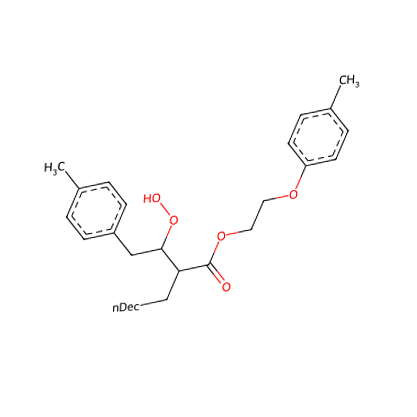 CCCCCCCCCCCC(C(=O)OCCOc1ccc(C)cc1)C(Cc1ccc(C)cc1)OO